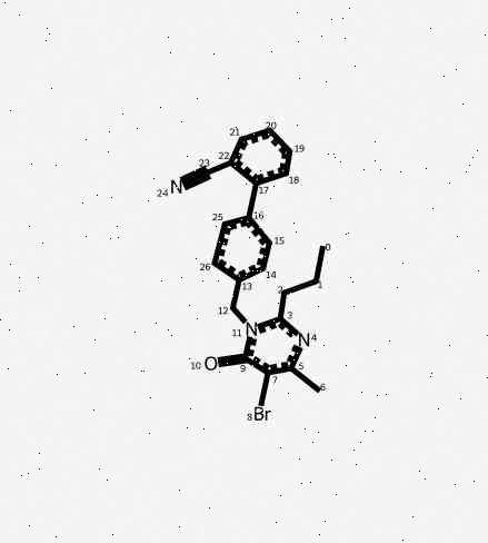 CCCc1nc(C)c(Br)c(=O)n1Cc1ccc(-c2ccccc2C#N)cc1